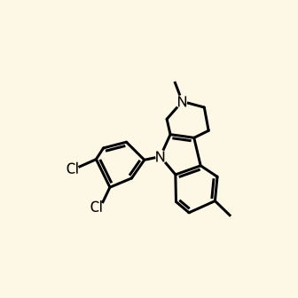 Cc1ccc2c(c1)c1c(n2-c2ccc(Cl)c(Cl)c2)CN(C)CC1